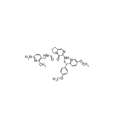 COc1ccc([C@@H](CNc2ncc3n(c2=O)[C@H](C(=O)NCc2ccc(N)nc2C)CC3)c2ccc(OC)cn2)cc1